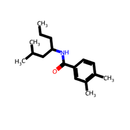 CCCC(CC(C)C)NC(=O)c1ccc(C)c(C)c1